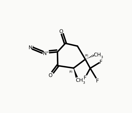 C[C@H]1C(=O)C(=[N+]=[N-])C(=O)C[C@@]1(C)C(F)(F)F